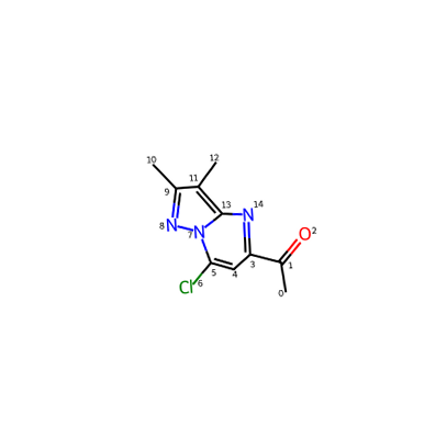 CC(=O)c1cc(Cl)n2nc(C)c(C)c2n1